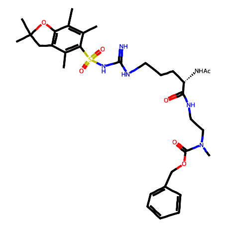 CC(=O)N[C@@H](CCCNC(=N)NS(=O)(=O)c1c(C)c(C)c2c(c1C)CC(C)(C)O2)C(=O)NCCN(C)C(=O)OCc1ccccc1